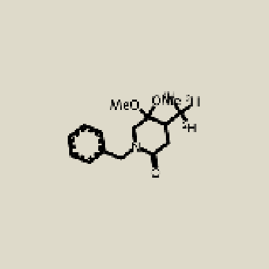 [2H]C([2H])([2H])C1CC(=O)N(Cc2ccccc2)CC1(OC)OC